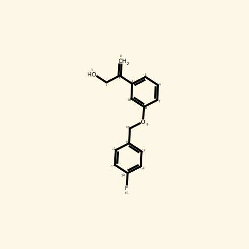 C=C(CO)c1cccc(OCc2ccc(F)cc2)c1